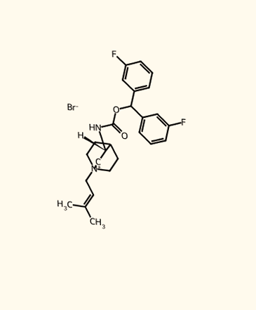 CC(C)=CC[N+]12CCC(CC1)[C@@H](NC(=O)OC(c1cccc(F)c1)c1cccc(F)c1)C2.[Br-]